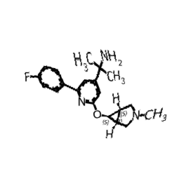 CN1C[C@@H]2[C@H](C1)[C@H]2Oc1cc(C(C)(C)N)cc(-c2ccc(F)cc2)n1